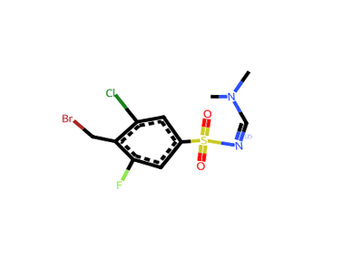 CN(C)/C=N\S(=O)(=O)c1cc(F)c(CBr)c(Cl)c1